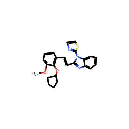 COc1cccc(/C=C/c2nc3ccccc3n2-c2nccs2)c1OC1CCCC1